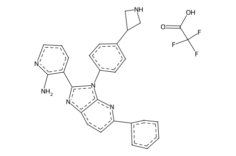 Nc1ncccc1-c1nc2ccc(-c3ccccc3)nc2n1-c1ccc(C2CNC2)cc1.O=C(O)C(F)(F)F